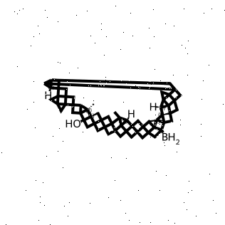 BC12CC34CC56CC78CC9%10CC%11%12CC%13%14CC%15(O)C%16%17CC%18%19CC%20%21CC%22(CC%23%24CC%25(CC%26%27CC%28%29CC1%30[C@@]1(C(C53CC67[C@@H]3C(C)(C%119CC%12%13C[C@]%15%14[C@]%16(C)C%18%17)C38%10)C241)[C@@]%28%30[C@H]1C2(CC%25%262)C1%27%29)C%23[C@H]%24%22)C%201CC12CC%19%212